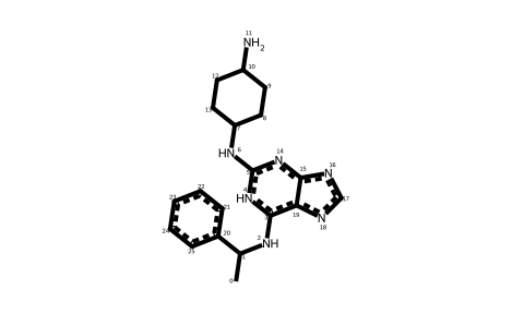 CC(Nc1[nH]c(NC2CCC(N)CC2)nc2ncnc1-2)c1ccccc1